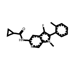 Cc1ccccc1-c1c(F)c2cc(NC(=O)C3CC3)ncc2n1C